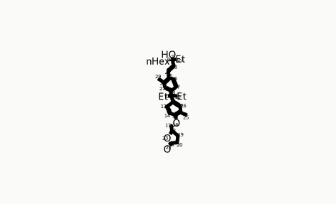 CCCCCC[C@](O)(/C=C/c1ccc(C(CC)(CC)c2ccc(OCC3CCC(=O)O3)c(C)c2)cc1C)CC